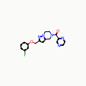 O=C(c1cnccn1)N1CCn2nc(COc3cccc(F)c3)cc2C1